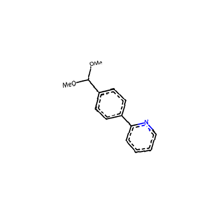 COC(OC)c1ccc(-c2ccccn2)cc1